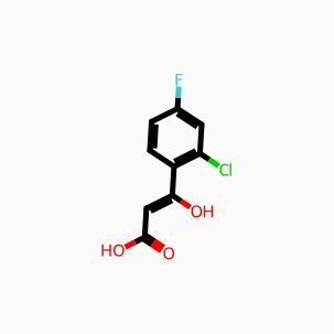 O=C(O)/C=C(\O)c1ccc(F)cc1Cl